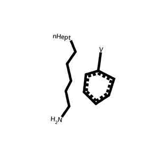 CCCCCCCCCCCCN.[V][c]1ccccc1